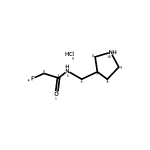 Cl.O=C(CF)NCC1CCNC1